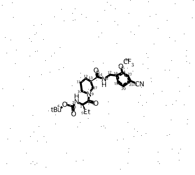 CC[C@@H](NC(=O)OC(C)(C)C)C(=O)N1CCC[C@@H](C(=O)NCc2ccc(C#N)cc2OC(F)(F)F)C1